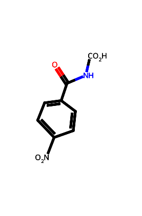 O=C(O)NC(=O)c1ccc([N+](=O)[O-])cc1